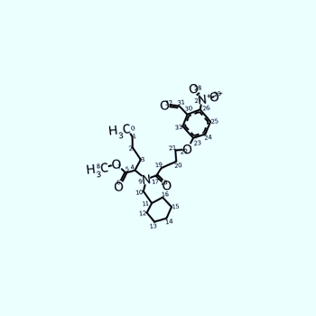 CCCCC(C(=O)OC)N(CC1CCCCC1)C(=O)CCCOc1ccc([N+](=O)[O-])c(C=O)c1